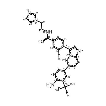 Nc1ncc(-c2ccc3ncc(-c4ccc(C(=O)NCCn5ccnc5)cc4F)n3n2)cc1C(F)(F)F